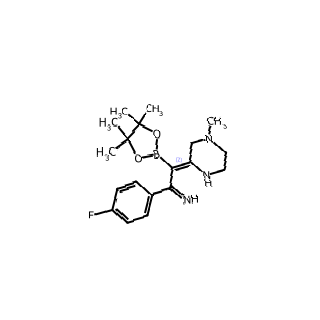 CN1CCN/C(=C(/B2OC(C)(C)C(C)(C)O2)C(=N)c2ccc(F)cc2)C1